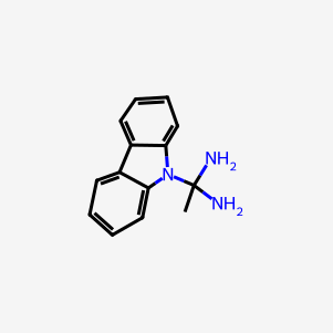 CC(N)(N)n1c2ccccc2c2ccccc21